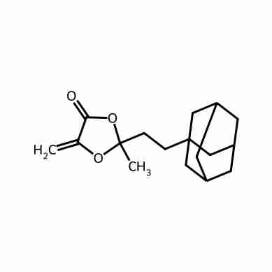 C=C1OC(C)(CCC23CC4CC(CC(C4)C2)C3)OC1=O